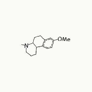 COc1ccc2c(c1)CCC1C2CCCN1C